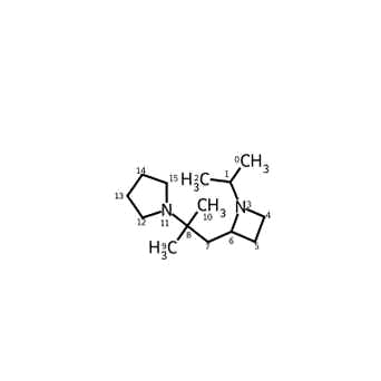 CC(C)N1CCC1CC(C)(C)N1CCCC1